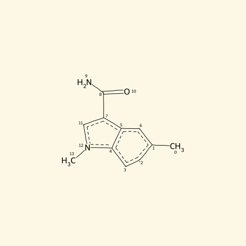 Cc1[c]cc2c(c1)c(C(N)=O)cn2C